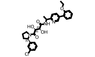 CCOc1ccccc1-c1ccc(C(C)NC(=O)[C@H](O)[C@@H](O)C(=O)N2CCC[C@@H]2c2cccc(Cl)c2)nc1